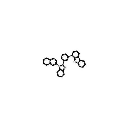 c1cc(-c2cccc3c2oc2ccccc23)cc(-c2nc3ccccc3n2-c2ccc3ccccc3c2)c1